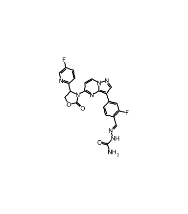 NC(=O)NN=Cc1ccc(-c2cnn3ccc(N4C(=O)OCC4c4ccc(F)cn4)nc23)cc1F